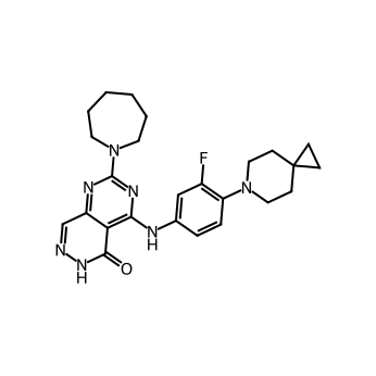 O=c1[nH]ncc2nc(N3CCCCCC3)nc(Nc3ccc(N4CCC5(CC4)CC5)c(F)c3)c12